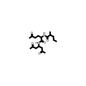 CCCC(C)C(=O)NC(CCC(C)=O)C(=O)NC(CC(C)=O)CC(C)=O